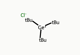 C[C](C)(C)[Ge+]([C](C)(C)C)[C](C)(C)C.[Cl-]